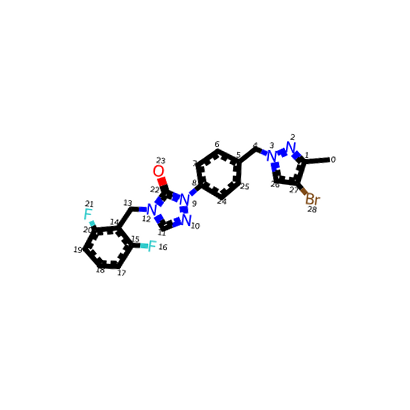 Cc1nn(Cc2ccc(-n3ncn(Cc4c(F)cccc4F)c3=O)cc2)cc1Br